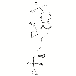 CC(C)(O)c1ccc2nc(CCCCC(=O)CC(C)(C)C3CC3)n(C3(C)CCC3)c2c1